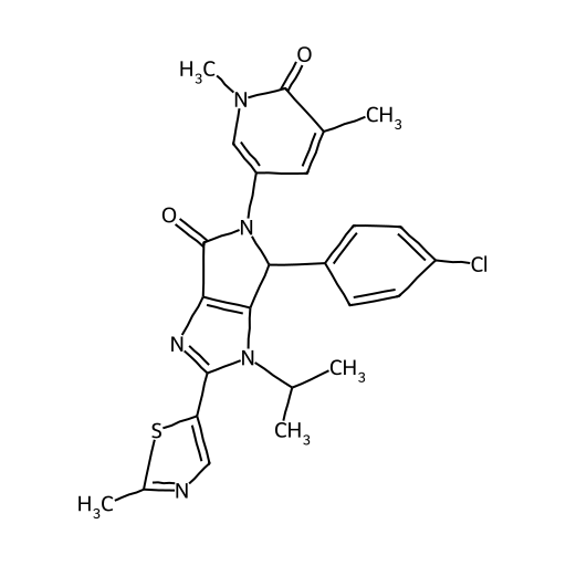 Cc1ncc(-c2nc3c(n2C(C)C)C(c2ccc(Cl)cc2)N(c2cc(C)c(=O)n(C)c2)C3=O)s1